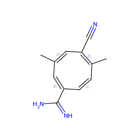 CC1=C/C(C#N)=C(C)\C=C/C(C(=N)N)=C\1